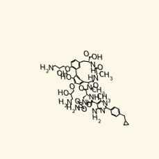 Cc1nc(-c2ccc(CC3CC3)cc2)nc(N)c1C(=O)N[C@@H](CNS(N)(=O)=O)C(=O)N(C)[C@@H]1C(=O)N[C@@H](C)C(=O)N[C@H](C(=O)O)Cc2ccc(OC[C@H](O)CN)c(c2)-c2cc1cc(OC[C@H](O)CN)c2O